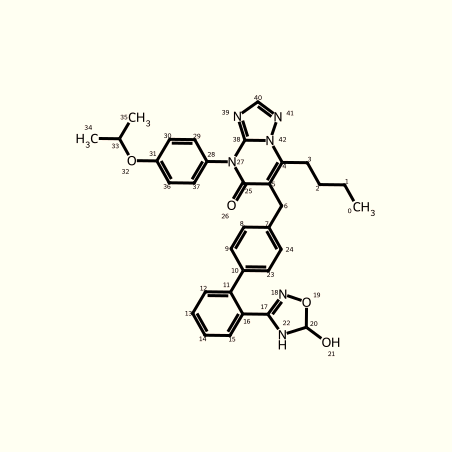 CCCCc1c(Cc2ccc(-c3ccccc3C3=NOC(O)N3)cc2)c(=O)n(-c2ccc(OC(C)C)cc2)c2ncnn12